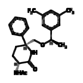 CC(=O)N[C@@H]1CC[C@@](CO[C@H](C)c2cc(C(F)(F)F)cc(C(F)(F)F)c2)(c2ccccc2)NC1=O